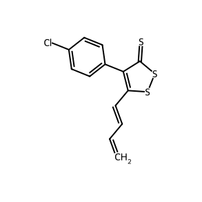 C=CC=Cc1ssc(=S)c1-c1ccc(Cl)cc1